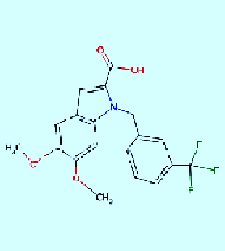 COc1cc2cc(C(=O)O)n(Cc3cccc(C(F)(F)F)c3)c2cc1OC